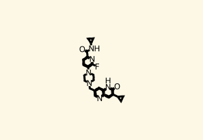 O=C(NC1CC1)c1ccc(N2CCN(Cc3cnc4cc(C5CC5)c(=O)[nH]c4c3)CC2)c(F)n1